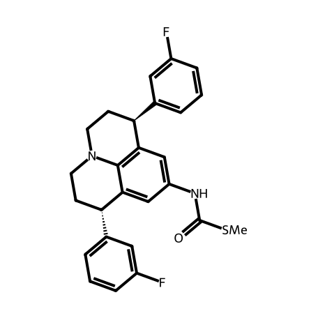 CSC(=O)Nc1cc2c3c(c1)[C@H](c1cccc(F)c1)CCN3CC[C@H]2c1cccc(F)c1